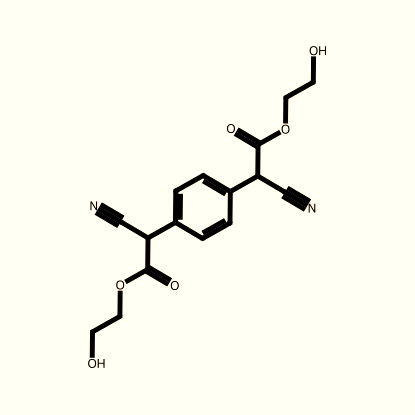 N#CC(C(=O)OCCO)c1ccc(C(C#N)C(=O)OCCO)cc1